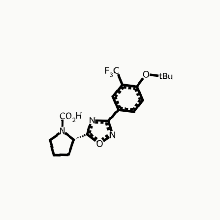 CC(C)(C)Oc1ccc(-c2noc([C@@H]3CCCN3C(=O)O)n2)cc1C(F)(F)F